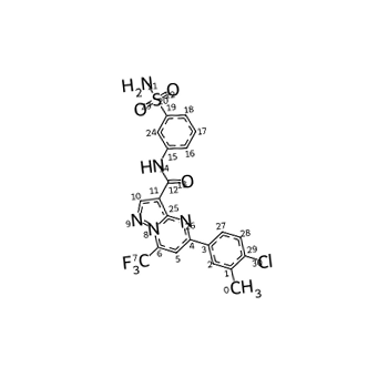 Cc1cc(-c2cc(C(F)(F)F)n3ncc(C(=O)Nc4cccc(S(N)(=O)=O)c4)c3n2)ccc1Cl